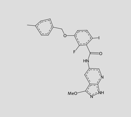 COc1n[nH]c2ncc(NC(=O)c3c(I)ccc(OCc4ccc(C)cc4)c3F)cc12